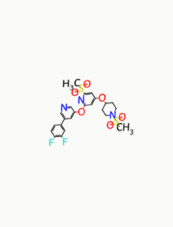 CS(=O)(=O)c1cc(OC2CCN(S(C)(=O)=O)CC2)cc(Oc2cncc(-c3ccc(F)c(F)c3)c2)n1